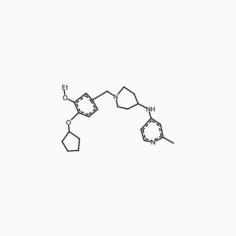 CCOc1cc(CN2CCC(Nc3ccnc(C)c3)CC2)ccc1OC1CCCC1